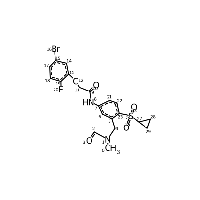 CN(C=O)Cc1cc(NC(=O)CCc2cc(Br)ccc2F)ccc1S(=O)(=O)C1CC1